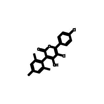 Cc1cc(C)c(-c2c(O)c(Cl)c(-c3ccc(Cl)cc3)oc2=O)c(C)c1